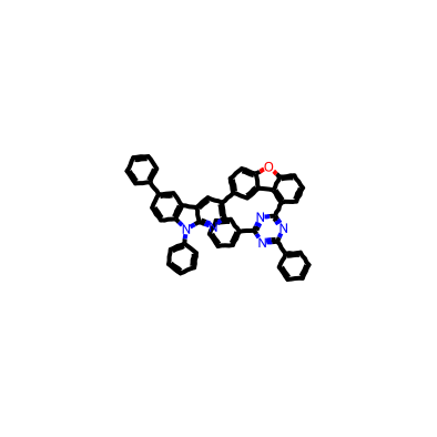 c1ccc(-c2ccc3c(c2)c2cc(-c4ccc5oc6cccc(-c7nc(-c8ccccc8)nc(-c8ccccc8)n7)c6c5c4)cnc2n3-c2ccccc2)cc1